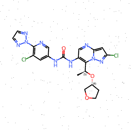 C[C@H](O[C@@H]1CCOC1)c1c(NC(=O)Nc2cnc(-n3nccn3)c(Cl)c2)cnc2cc(Cl)nn12